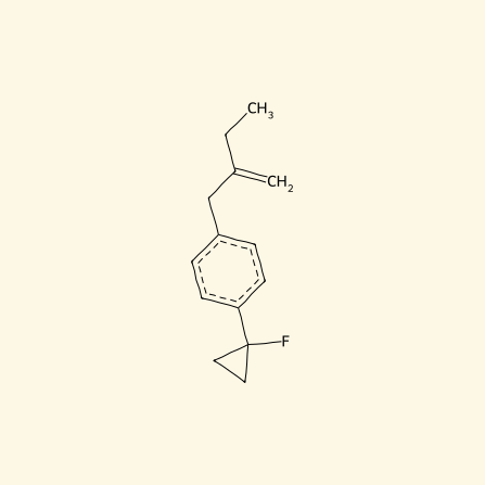 C=C(CC)Cc1ccc(C2(F)CC2)cc1